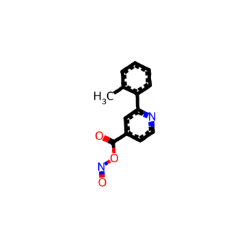 Cc1ccccc1-c1cc(C(=O)ON=O)ccn1